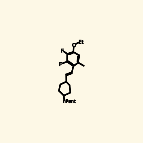 CCCCCC1CCC(C=Cc2c(C)cc(OCC)c(F)c2F)CC1